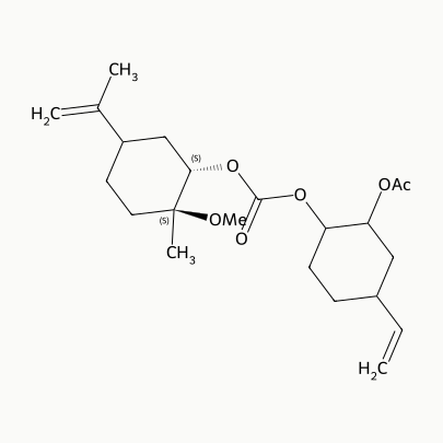 C=CC1CCC(OC(=O)O[C@H]2CC(C(=C)C)CC[C@]2(C)OC)C(OC(C)=O)C1